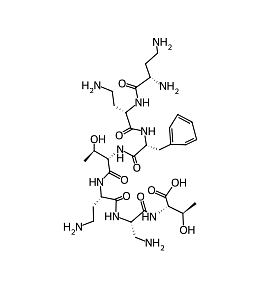 C[C@@H](O)[C@H](NC(=O)[C@H](CN)NC(=O)[C@H](CCN)NC(=O)[C@@H](NC(=O)[C@@H](Cc1ccccc1)NC(=O)[C@H](CCN)NC(=O)[C@@H](N)CCN)[C@@H](C)O)C(=O)O